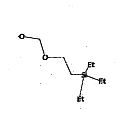 CC[Si](CC)(CC)CCOC[O]